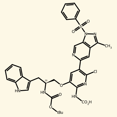 Cc1nn(S(=O)(=O)c2ccccc2)c2cnc(-c3cc(OC[C@H](Cc4c[nH]c5ccccc45)NC(=O)OC(C)(C)C)c(NC(=O)O)nc3Cl)cc12